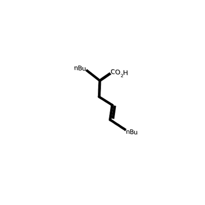 CCCCC=CCC(CCCC)C(=O)O